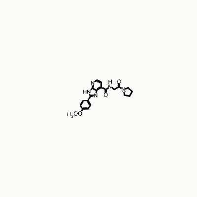 COc1ccc(-c2nc3c(C(=O)NCC(=O)N4CCCC4)ccnc3[nH]2)cc1